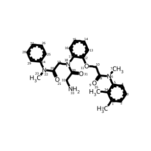 Cc1cccc(N(C)C(=O)COc2ccccc2N(CC(=O)N(C)c2ccccc2)C(=O)CN)c1C